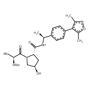 CN[C@H](C(=O)N1C[C@H](O)C[C@H]1C(=O)N[C@@H](C)c1ccc(-c2c(C)noc2C)cc1)C(C)(C)C